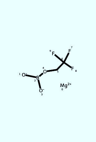 [Mg+2].[O-]B([O-])OCC(F)(F)F